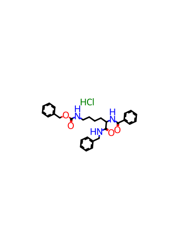 Cl.O=C(NCCCCC(NC(=O)c1ccccc1)C(=O)NCc1ccccc1)OCc1ccccc1